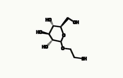 OC[C@H]1OC(OCCS)[C@H](O)[C@@H](O)[C@@H]1O